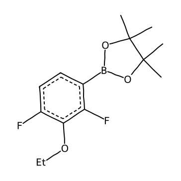 CCOc1c(F)ccc(B2OC(C)(C)C(C)(C)O2)c1F